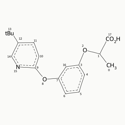 CC(Oc1cccc(Oc2ccc(C(C)(C)C)cn2)c1)C(=O)O